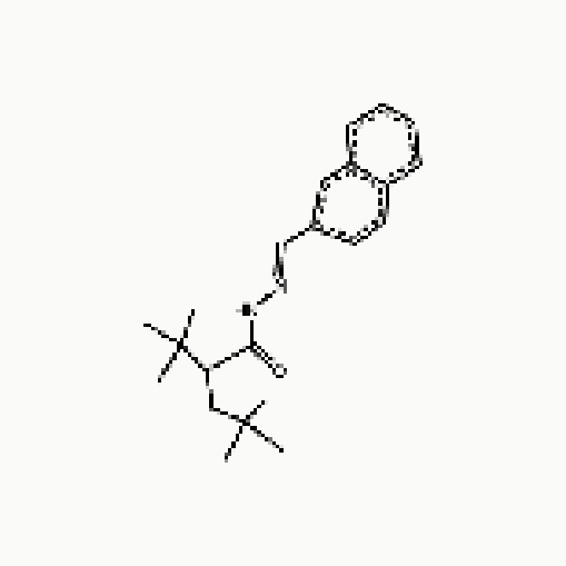 CC(C)(C)CC(C(=O)N/N=C/c1ccc2ccccc2c1)C(C)(C)C